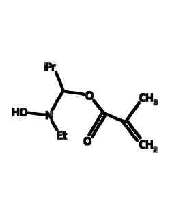 C=C(C)C(=O)OC(C(C)C)N(O)CC